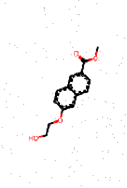 COC(=O)c1ccc2cc(OCCO)ccc2c1